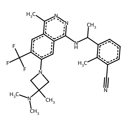 Cc1c(C#N)cccc1C(C)Nc1nnc(C)c2cc(C(F)(F)F)c(N3CC(C)(N(C)C)C3)cc12